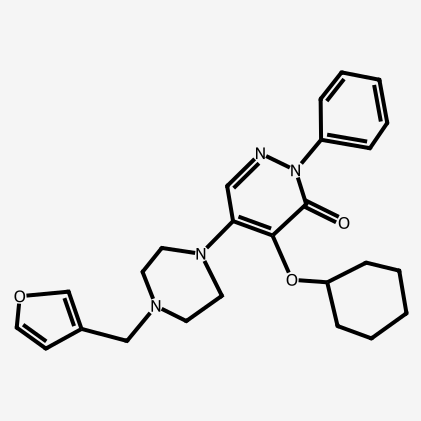 O=c1c(OC2CCCCC2)c(N2CCN(Cc3ccoc3)CC2)cnn1-c1ccccc1